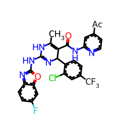 CC(=O)c1ccnc(NC(=O)C2=C(C)NC(Nc3nc4ccc(F)cc4o3)=NC2c2ccc(C(F)(F)F)cc2Cl)c1